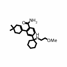 COCCNC1(c2ccc(C(N)=O)c(C3=CCC(C)(C)CC3)c2)CCCCC1